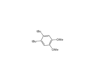 COc1cc(C(C)(C)C)c(C(C)(C)C)cc1OC